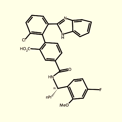 CCC[C@H](NC(=O)c1ccc(-c2c(Cl)cccc2-c2nc3ccccc3[nH]2)c(C(=O)O)c1)c1ccc(F)cc1OC